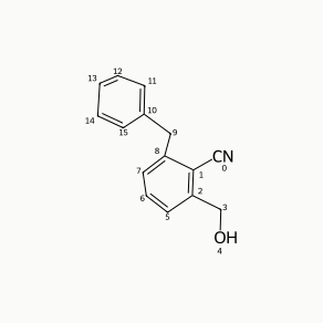 N#Cc1c(CO)cccc1Cc1ccccc1